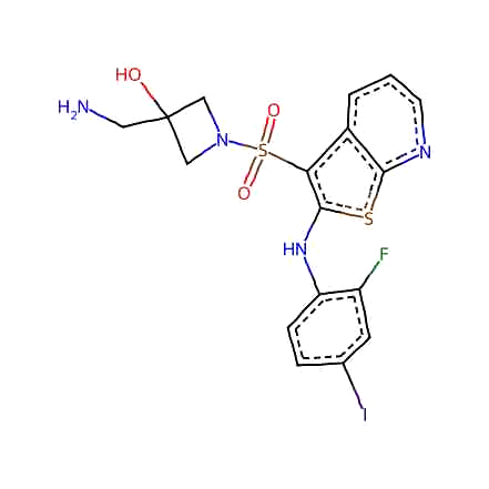 NCC1(O)CN(S(=O)(=O)c2c(Nc3ccc(I)cc3F)sc3ncccc23)C1